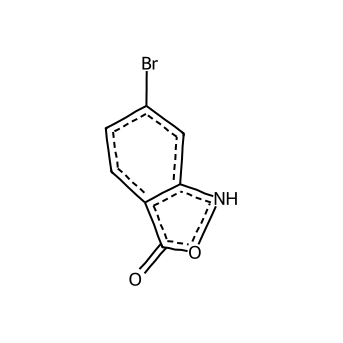 O=c1o[nH]c2cc(Br)ccc12